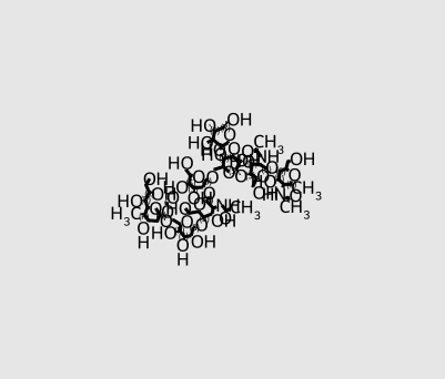 CC(=O)NC1C(O)[C@H](O[C@@H]2OC(CO[C@]3(OC=O)CC(O)[C@@H](C)C([C@H](O)[C@H](O)CO)O3)[C@H](O)[C@H](O)C2O)C(CO)O[C@H]1OC1[C@@H](OCC2O[C@@H](O[C@@H]3C(CO)O[C@@H](O[C@@H]4C(CO)O[C@@H](C)C(NC(C)=O)[C@H]4O)C(NC(C)=O)[C@H]3O)C(O)[C@@H](OC3O[C@H](CO)[C@@H](O)C(O)C3O)[C@@H]2O)OC(CO)[C@@H](O)[C@@H]1O